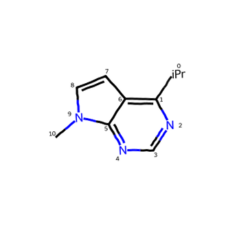 CC(C)c1ncnc2c1ccn2C